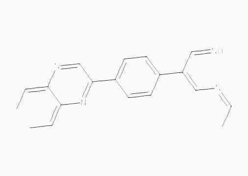 C/C=N\C=C(/C=N)c1ccc(-c2cnc(=C/C)/c(=C\C)n2)cc1